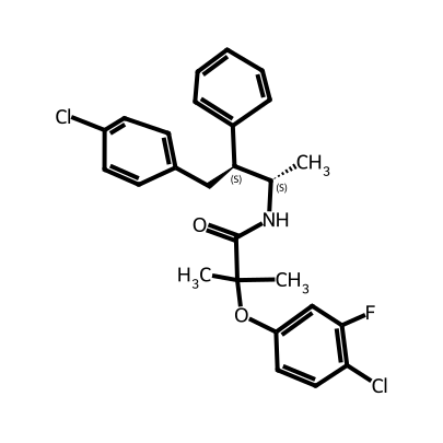 C[C@H](NC(=O)C(C)(C)Oc1ccc(Cl)c(F)c1)[C@@H](Cc1ccc(Cl)cc1)c1ccccc1